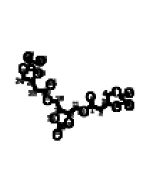 O=C(CC1COS(=O)(=O)O1)OCC1OC(=O)OC1COC(=O)CC1COS(=O)(=O)O1